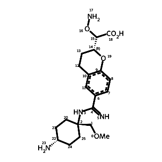 COC[C@]1(NC(=N)c2ccc3c(c2)CC[C@H](C(ON)C(=O)O)O3)CC[C@@H](N)CC1